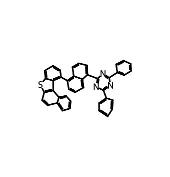 c1ccc(-c2nc(-c3ccccc3)nc(-c3cccc4c(-c5cccc6sc7ccc8ccccc8c7c56)cccc34)n2)cc1